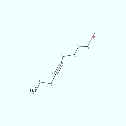 CCCC#CCCCCBr